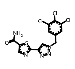 NC(=O)c1cnc(-c2cn(Cc3cc(Cl)c(Cl)c(Cl)c3)nn2)s1